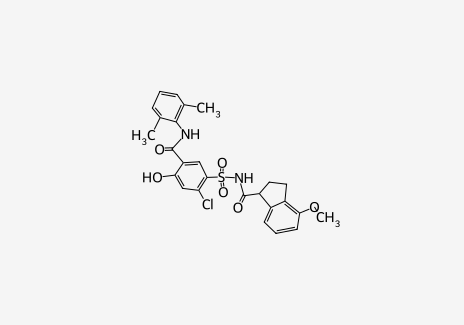 COc1cccc2c1CCC2C(=O)NS(=O)(=O)c1cc(C(=O)Nc2c(C)cccc2C)c(O)cc1Cl